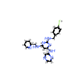 Fc1ccc(CNc2nc(NCc3ccccn3)cc(Nc3cnccn3)n2)cc1